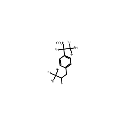 [2H]C([2H])([2H])C(C)Cc1ccc(C([2H])(C(=O)O)C([2H])([2H])[2H])cc1